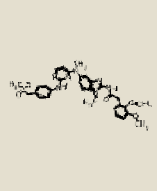 COc1cccc(CC(=O)Nc2nc3cc(N(C)c4ccnc(Nc5ccc(CS(C)(=O)=O)cc5)n4)ccc3n2C)c1OC